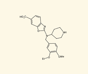 CCOc1cc(CN(c2nc3ccc(C(=O)O)cc3o2)C2CCNCC2)ccc1OC